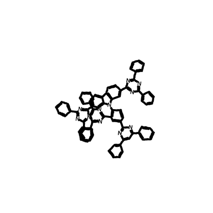 c1ccc(-c2cc(-c3ccccc3)nc(-c3ccc(-n4c5cc(-c6nc(-c7ccccc7)nc(-c7ccccc7)n6)ccc5c5ccc(-c6nc(-c7ccccc7)nc(-c7ccccc7)n6)cc54)c(-c4nc(-c5ccccc5)cc(-c5ccccc5)n4)c3)n2)cc1